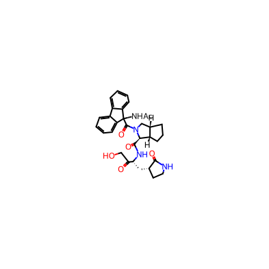 CC(=O)NC1(C(=O)N2C[C@@H]3CCC[C@@H]3[C@H]2C(=O)N[C@H](C[C@H]2CCNC2=O)C(=O)CO)c2ccccc2-c2ccccc21